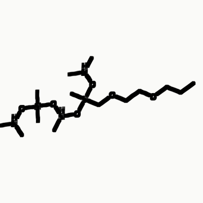 CCCOCCOC[Si](C)(O[SiH](C)C)O[SiH](C)O[Si](C)(C)O[SiH](C)C